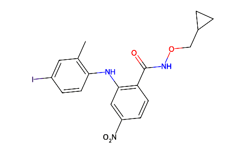 Cc1cc(I)ccc1Nc1cc([N+](=O)[O-])ccc1C(=O)NOCC1CC1